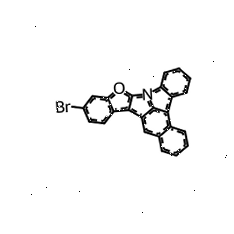 Brc1ccc2c(c1)oc1c2c2cc3ccccc3c3c4ccccc4n1c23